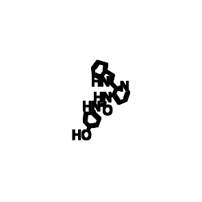 O=C(Nc1ccc(O)cc1)Nc1cccnc1-c1cc2ccccc2[nH]1